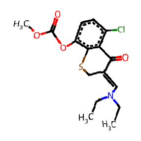 CCN(C=C1CSc2c(OC(=O)OC)ccc(Cl)c2C1=O)CC